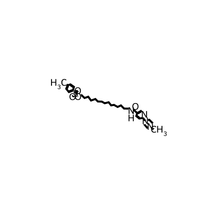 Cc1ccc(S(=O)(=O)OCCCCCCCCCCCCCCCNC(=O)c2ccc(N3CCN(C)CC3)nc2)cc1